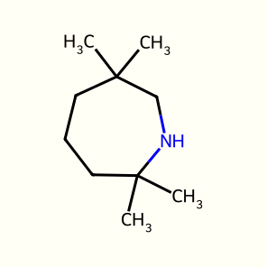 CC1(C)CCCC(C)(C)NC1